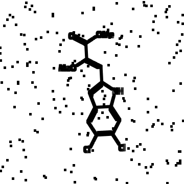 COC(=O)/C(=C/c1cc2cc(Cl)c(Cl)cc2[nH]1)OC